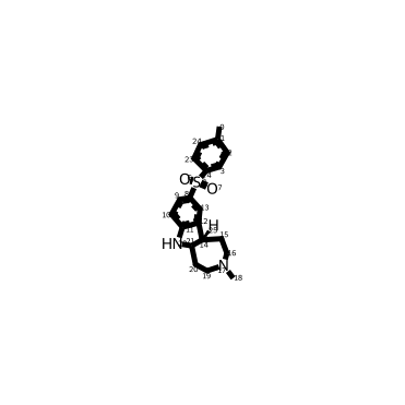 Cc1ccc(S(=O)(=O)c2ccc3c(c2)[C@@H]2CCN(C)CCC2N3)cc1